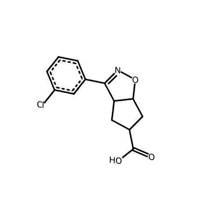 O=C(O)C1CC2ON=C(c3cccc(Cl)c3)C2C1